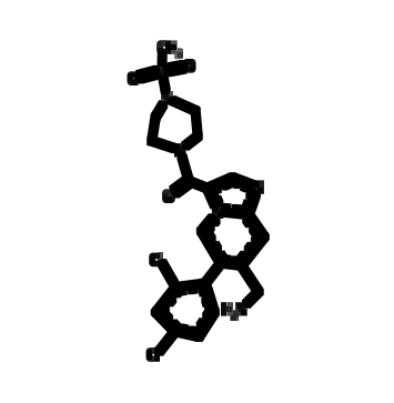 CS(=O)(=O)N1CCN(C(=O)c2cnc3cc(CN)c(-c4ccc(Cl)cc4Cl)cn23)CC1